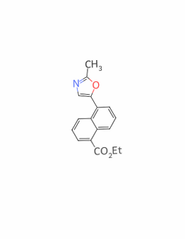 CCOC(=O)c1cccc2c(-c3cnc(C)o3)cccc12